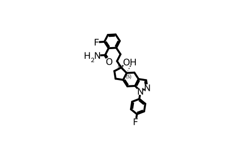 C[C@]12Cc3cnn(-c4ccc(F)cc4)c3C=C1CC[C@@]2(O)CCc1cccc(F)c1C(N)=O